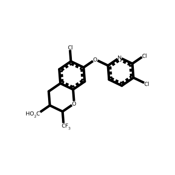 O=C(O)C1Cc2cc(Cl)c(Oc3ccc(Cl)c(Cl)n3)cc2OC1C(F)(F)F